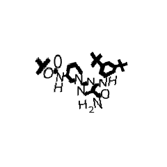 CC(C)(C)OC(=O)N[C@H]1CCCN(c2ncc(C(N)=O)c(Nc3cc(C(C)(C)C)cc(C(C)(C)C)c3)n2)C1